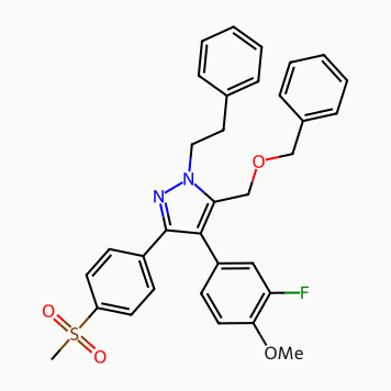 COc1ccc(-c2c(-c3ccc(S(C)(=O)=O)cc3)nn(CCc3ccccc3)c2COCc2ccccc2)cc1F